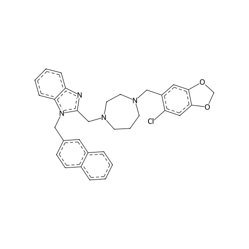 Clc1cc2c(cc1CN1CCCN(Cc3nc4ccccc4n3Cc3ccc4ccccc4c3)CC1)OCO2